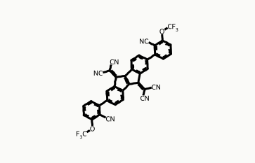 N#CC(C#N)=C1C2=C(C(=C(C#N)C#N)c3cc(-c4cccc(OC(F)(F)F)c4C#N)ccc32)c2ccc(-c3cccc(OC(F)(F)F)c3C#N)cc21